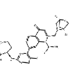 CC(C)n1c(CN2C[C@@H]3C[C@H]2CO3)cc(=O)c2ccc(-c3nc(N[C@@H]4CCOC[C@H]4O)ncc3F)cc21